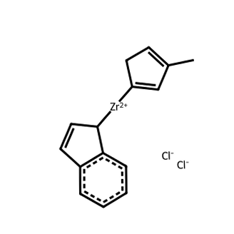 CC1=CC[C]([Zr+2][CH]2C=Cc3ccccc32)=C1.[Cl-].[Cl-]